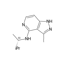 Cc1n[nH]c2ccnc(N[C@@H](C)C(C)C)c12